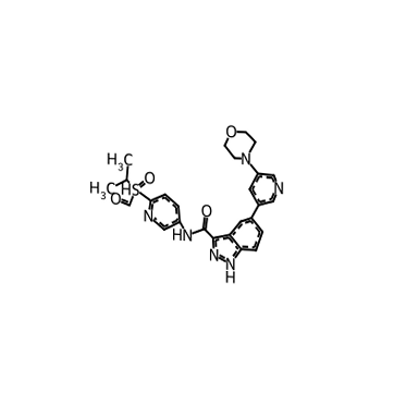 CC(C)[SH](=O)(C=O)c1ccc(NC(=O)c2n[nH]c3ccc(-c4cncc(N5CCOCC5)c4)cc23)cn1